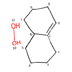 C1=C2CCCCC2CCC1.OO